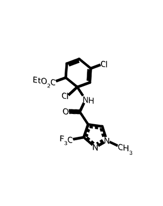 CCOC(=O)C1C=CC(Cl)=CC1(Cl)NC(=O)c1cn(C)nc1C(F)(F)F